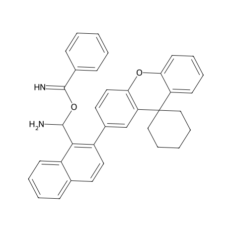 N=C(OC(N)c1c(-c2ccc3c(c2)C2(CCCCC2)c2ccccc2O3)ccc2ccccc12)c1ccccc1